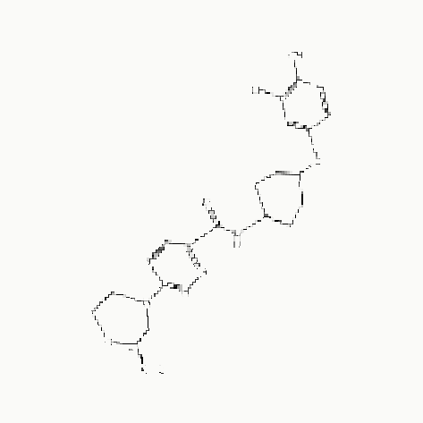 N#Cc1ccc(OC2CCC(NC(=O)c3ccc(N4CCO[C@H](C=O)C4)nn3)CC2)cc1Cl